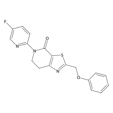 O=C1c2sc(COc3ccccc3)nc2CCN1c1ccc(F)cn1